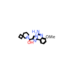 COc1cccc2c1nc(N)n1cc(C(O)N3CCCC4(CCC4)C3)nc21